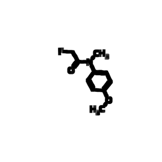 COc1ccc(N(C)C(=O)CF)cc1